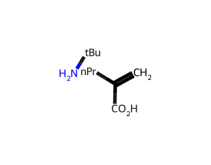 C=C(CCC)C(=O)O.CC(C)(C)N